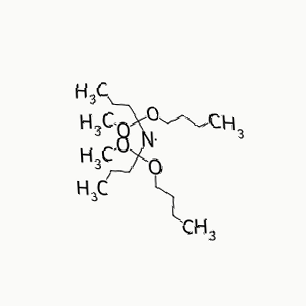 CCCCOC(CCC)([N]C(CCC)(OC)OCCCC)OC